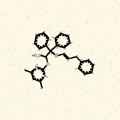 Cc1cc(C)nc(OC(C(=O)O)C(OC=CCc2ccccc2)(c2ccccc2)c2ccccc2)n1